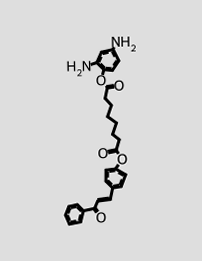 Nc1ccc(OC(=O)CCCCCCC(=O)Oc2ccc(C=CC(=O)c3ccccc3)cc2)c(N)c1